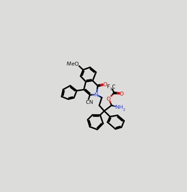 COc1ccc2c(=O)n(CCC(c3ccccc3)(c3ccccc3)C(N)OC(=O)C(F)(F)F)c(C#N)c(-c3ccccc3)c2c1